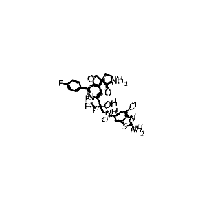 CC[C@]1(C(N)=O)COc2c1cc(C(O)(CNC(=O)c1cc(Cl)c3nc(N)sc3c1)C(F)(F)F)nc2-c1ccc(F)cc1